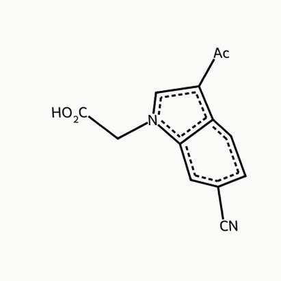 CC(=O)c1cn(CC(=O)O)c2cc(C#N)ccc12